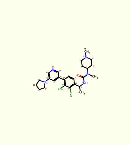 CC(NC(=O)N(C)C1CCN(C)CC1)c1ccc(-c2cncc(N3CCCC3)c2)c(Cl)c1Cl